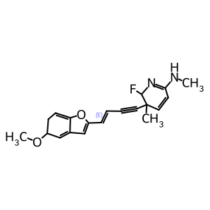 CNC1=NC(F)C(C)(C#C/C=C/c2cc3c(o2)=CCC(OC)C=3)C=C1